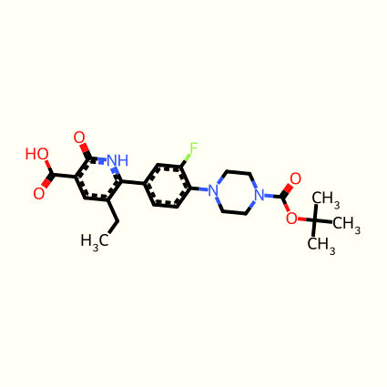 CCc1cc(C(=O)O)c(=O)[nH]c1-c1ccc(N2CCN(C(=O)OC(C)(C)C)CC2)c(F)c1